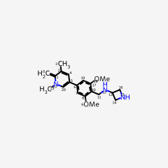 C=C1C(C)=CC(c2cc(OC)c(CNC3CNC3)c(OC)c2)=CN1C